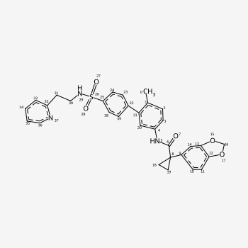 Cc1ccc(NC(=O)C2(c3ccc4c(c3)OCO4)CC2)cc1-c1ccc(S(=O)(=O)NCCc2ccccn2)cc1